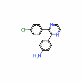 Nc1ccc(-c2nccnc2-c2ccc(Cl)cc2)cc1